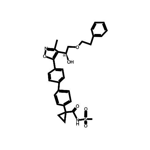 Cc1noc(-c2ccc(-c3ccc(C4(C(=O)NS(C)(=O)=O)CC4)cc3)cc2)c1[C@H](O)COCCc1ccccc1